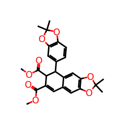 COC(=O)C1=Cc2cc3c(cc2C(c2ccc4c(c2)OC(C)(C)O4)C1C(=O)OC)OC(C)(C)O3